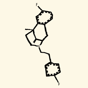 CC1C2Cc3ccc(F)cc3[C@@]1(C)CCN2CCc1ccc(F)cc1